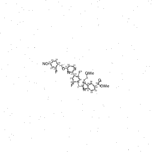 COCCn1c(Cc2cc(F)c(-c3nccc(OCc4ccc(C#N)cc4F)n3)cc2F)nc2ccc(C(=O)OC)cc21